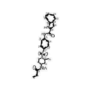 C=CC(=O)NC1CCN(S(=O)(=O)c2ccc(NC(=O)c3cc4ccccc4[nH]3)cc2)C(C)C1